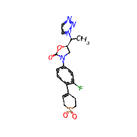 CC([C@H]1CN(c2ccc(C3=CCS(=O)(=O)CC3)c(F)c2)C(=O)O1)n1ccnn1